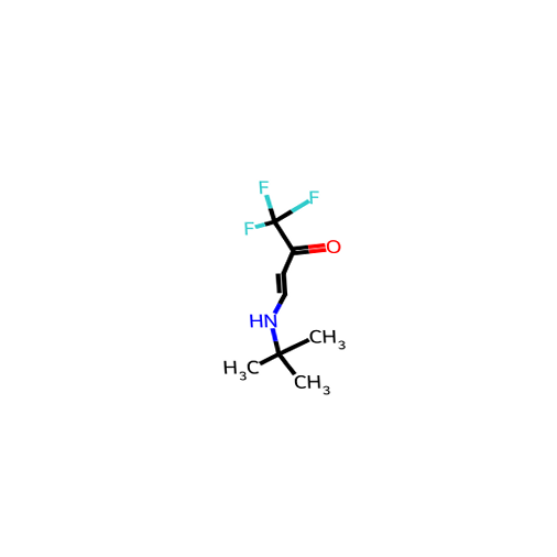 CC(C)(C)NC=CC(=O)C(F)(F)F